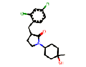 CC1(O)CCC(N2CCC(Cc3ccc(Cl)cc3Cl)C2=O)CC1